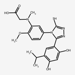 COc1ccc(-n2c(S)nnc2-c2cc(C(C)C)c(O)cc2O)cc1N(C)CC(=O)O